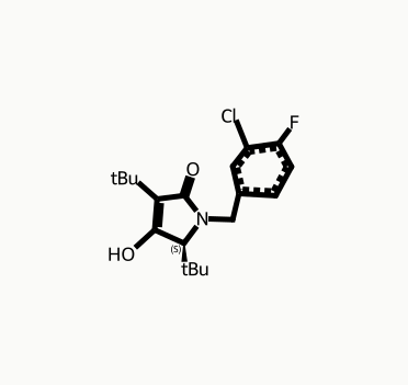 CC(C)(C)C1=C(O)[C@H](C(C)(C)C)N(Cc2ccc(F)c(Cl)c2)C1=O